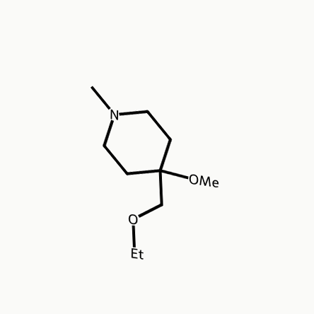 CCOCC1(OC)CCN(C)CC1